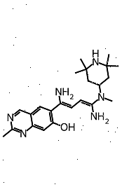 Cc1ncc2cc(/C(N)=C/C=C(\N)N(C)C3CC(C)(C)NC(C)(C)C3)c(O)cc2n1